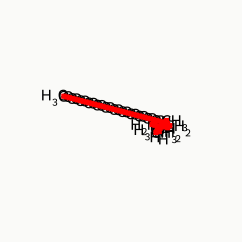 [CH2]c1ccc(NC(=O)[C@H](CCCNC(N)=O)NC(=O)[C@@H](N)C(C)C)cc1CN(C)C(=O)CCOCCOCCOCCOCCOCCOCCOCCOCCOCCOCCOCCOCCOCCOCCOCCOCCOCCOCCOCCOCCOCCOCCOCCOC